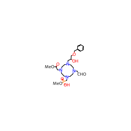 COC(=O)CN1CCN(CC(O)COCc2ccccc2)CCN(CC=O)CCN(CP(=O)(O)OC)CC1